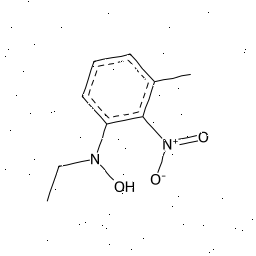 CCN(O)c1cccc(C)c1[N+](=O)[O-]